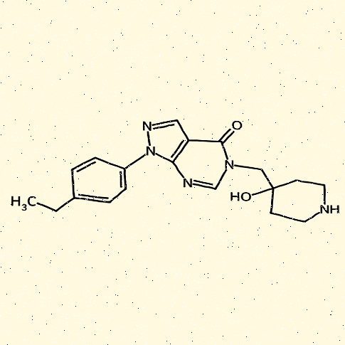 CCc1ccc(-n2ncc3c(=O)n(CC4(O)CCNCC4)cnc32)cc1